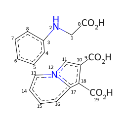 O=C(O)CNc1ccccc1.O=C(O)c1cn2ccccc2c1C(=O)O